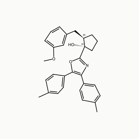 COc1cccc(C[C@H]2CCC[C@@]2(O)c2nc(-c3ccc(C)cc3)c(-c3ccc(C)cc3)o2)c1